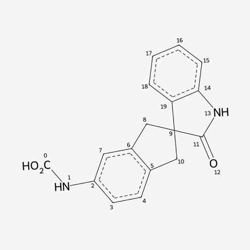 O=C(O)Nc1ccc2c(c1)CC1(C2)C(=O)Nc2ccccc21